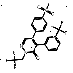 CS(=O)(=O)c1ccc(-c2cnn(CC(F)(F)F)c(=O)c2-c2cccc(C(F)(F)F)c2)cc1